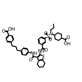 CCCN(C1CCC(C(=O)O)CC1)S(=O)(=O)c1cccc(C(=O)Nc2sc3c(c2C(=O)Nc2ccc(CCCc4ccc(C(=O)O)cc4)cc2)CCCC3)c1